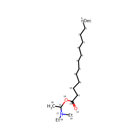 CCCCCCCCCCCCCCCCCCCCCC(=O)OC(C)N(CC)CC